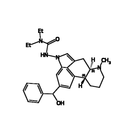 CCN(CC)C(=O)Nn1cc2c3c(cc(C(O)c4ccccc4)cc31)[C@H]1CCCN(C)[C@@H]1C2